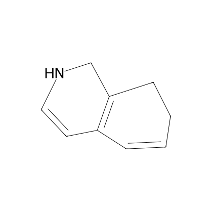 C1=CC2=C(CC1)CNC=C2